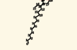 CCCCCCCCCCCCCC(CC)C1CCOC1=O